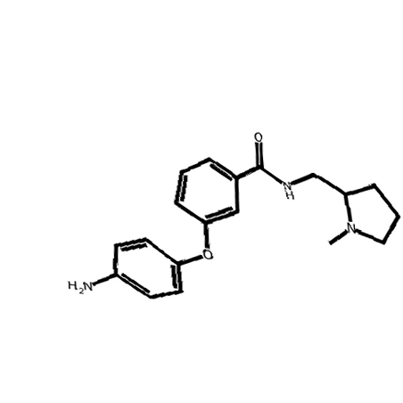 CN1CCCC1CNC(=O)c1cccc(Oc2ccc(N)cc2)c1